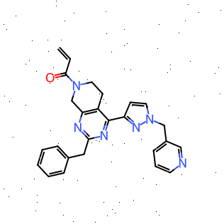 C=CC(=O)N1CCc2c(nc(Cc3ccccc3)nc2-c2ccn(Cc3cccnc3)n2)C1